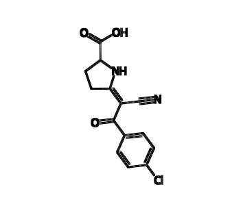 N#CC(C(=O)c1ccc(Cl)cc1)=C1CCC(C(=O)O)N1